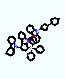 c1ccc(-c2ccc(-n3c4ccccc4c4c(-n5c6ccccc6c6c(-n7c8ccccc8c8ccccc87)ccc([Si](c7ccccc7)(c7ccccc7)c7ccccc7)c65)cccc43)cc2)cc1